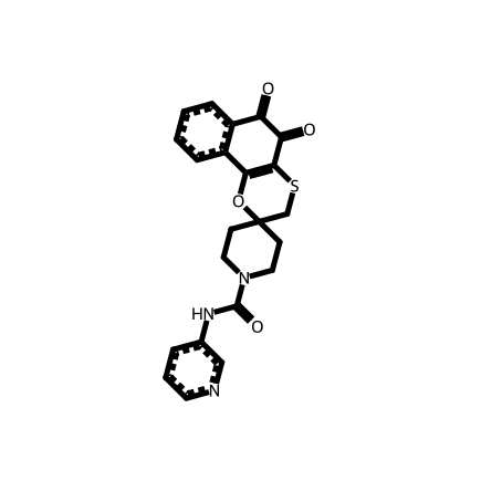 O=C1C(=O)c2ccccc2C2=C1SCC1(CCN(C(=O)Nc3cccnc3)CC1)O2